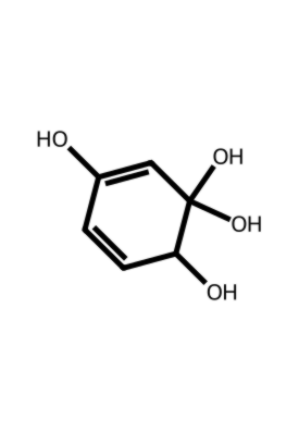 OC1=CC(O)(O)C(O)C=C1